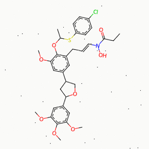 CCC(=O)N(O)C=CCc1cc(C2COC(c3cc(OC)c(OC)c(OC)c3)C2)cc(OC)c1OC(C)Sc1ccc(Cl)cc1